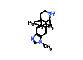 Cn1cnc2cc3c(cc21)CC1NCC[C@]3(C)C1(C)C